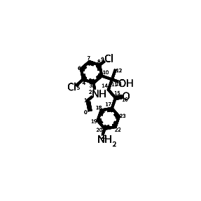 C=CNc1c(Cl)ccc(Cl)c1C(C)(O)CC(=O)c1ccc(N)cc1